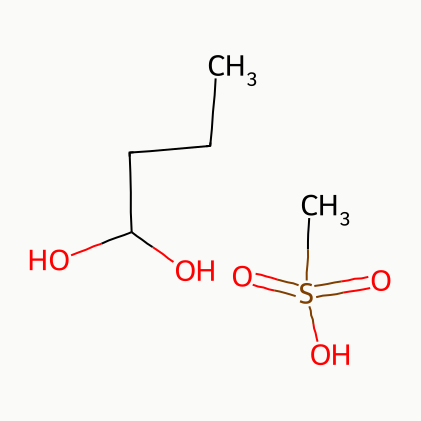 CCCC(O)O.CS(=O)(=O)O